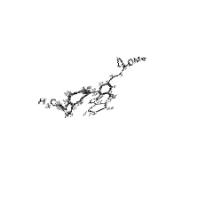 COC(=O)CCc1cc(Br)c(OC2CCCC2)c(-c2ccc3c(cnn3C)c2)c1